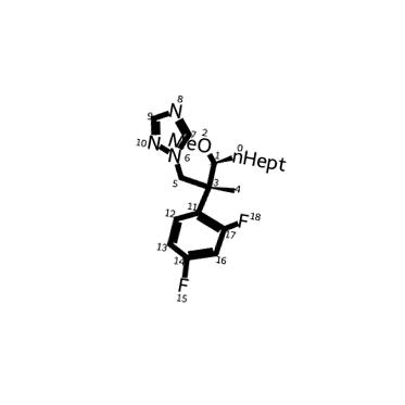 CCCCCCC[C@H](OC)[C@@](C)(Cn1cncn1)c1ccc(F)cc1F